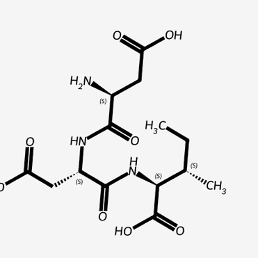 CC[C@H](C)[C@H](NC(=O)[C@H](CC(=O)O)NC(=O)[C@@H](N)CC(=O)O)C(=O)O